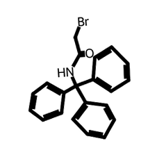 O=C(CBr)NC(c1ccccc1)(c1ccccc1)c1ccccc1